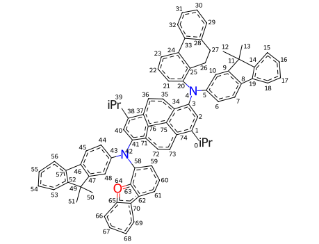 CC(C)c1cc(N(c2ccc3c(c2)C(C)(C)c2ccccc2-3)c2cccc3c2CCc2ccccc2-3)c2ccc3c(C(C)C)cc(N(c4ccc5c(c4)C(C)(C)c4ccccc4-5)c4cccc5c4oc4ccccc45)c4ccc1c2c34